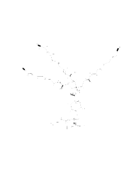 C#CCOCCOCCNC(=O)CCC(CCC(=O)NCCOCCOCC#C)(CCC(=O)NCCOCCOCC#C)NC(=O)[C@H]1CC[C@@H](OP(OCCC#N)N(C(C)C)C(C)C)CC1